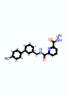 CC(C)NC(=O)c1cccc(C(=O)NCc2cccc(-c3ccc(C#N)cc3)c2)n1